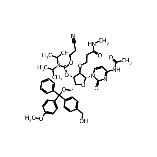 CNC(=O)CCOC1[C@@H](OP(OCCC#N)N(C(C)C)C(C)C)[C@@H](COC(c2ccccc2)(c2ccc(CO)cc2)c2ccc(OC)cc2)O[C@H]1n1ccc(NC(C)=O)nc1=O